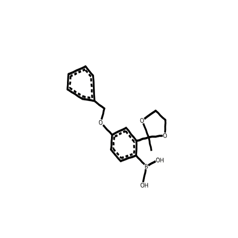 CC1(c2cc(OCc3ccccc3)ccc2B(O)O)OCCO1